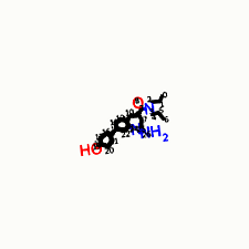 CCCN(CCC)C(=O)C1=Cc2ccc(-c3ccc(O)cc3)cc2N=C(N)C1